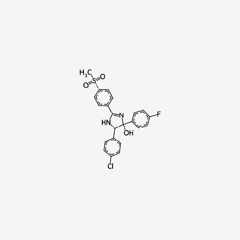 CS(=O)(=O)c1ccc(C2=NC(O)(c3ccc(F)cc3)C(c3ccc(Cl)cc3)N2)cc1